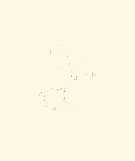 ClC(Cl)(Cl)c1ncncn1.NC(CO)(CO)CO